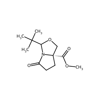 COC(=O)[C@]12CCC(=O)N1C(C(C)(C)C)OC2